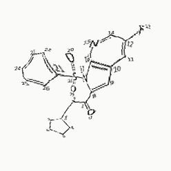 O=C(CC1CCCC1)c1cc2cc(F)cnc2n1S(=O)(=O)c1ccccc1